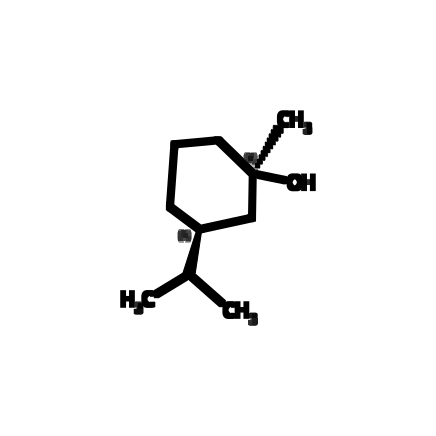 CC(C)[C@H]1CCC[C@@](C)(O)C1